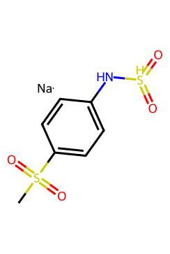 CS(=O)(=O)c1ccc(N[SH](=O)=O)cc1.[Na]